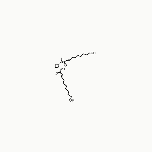 O=C(/C=C/CCCCCCCO)N[C@@H]1CC[C@H]1NC(=O)/C=C/CCCCCCCO